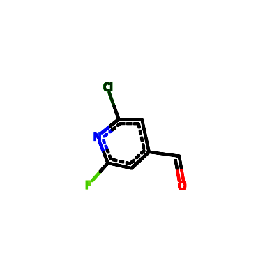 O=Cc1cc(F)nc(Cl)c1